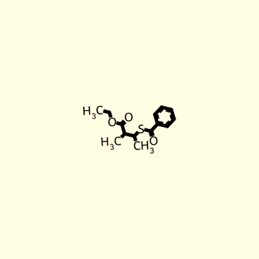 CCOC(=O)C(C)C(C)SC(=O)c1ccccc1